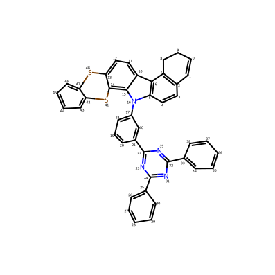 C1=Cc2ccc3c(c2CC1)c1ccc2c(c1n3-c1cccc(-c3nc(-c4ccccc4)nc(-c4ccccc4)n3)c1)Sc1ccccc1S2